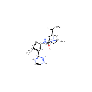 COC(C)C12C[C@H](C)C[C@H](C1)N2C(=O)Nc1ccc(C(F)(F)F)c(-c2nccnn2)c1